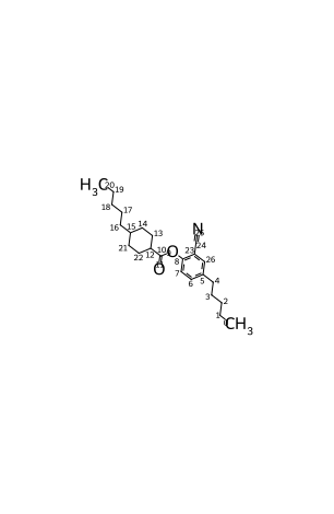 CCCCCc1ccc(OC(=O)C2CCC(CCCCC)CC2)c(C#N)c1